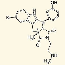 CNCCN1C(=O)N2[C@H](c3cccc(O)c3)c3[nH]c4ccc(Br)cc4c3C[C@@]2(C)C1=O